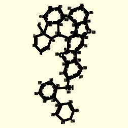 CC12C=CC=CC1N(c1c3oc4cc(Nc5ccccc5C5=CCCC=C5)ccc4c3cc3oc4ccccc4c13)c1ccccc12